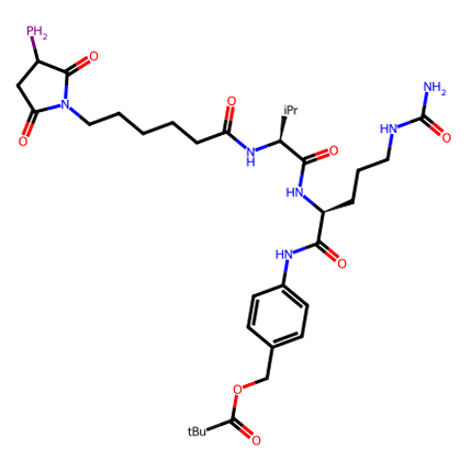 CC(C)[C@H](NC(=O)CCCCCN1C(=O)CC(P)C1=O)C(=O)N[C@@H](CCCNC(N)=O)C(=O)Nc1ccc(COC(=O)C(C)(C)C)cc1